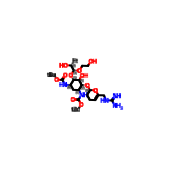 CC[C@@H](O)[C@H](OCCO)O[C@@H]1[C@@H](O)[C@H](O[C@@H]2CCC=C(CNC(=N)N)O2)[C@@H](NC(=O)OC(C)(C)C)C[C@H]1NC(=O)OC(C)(C)C